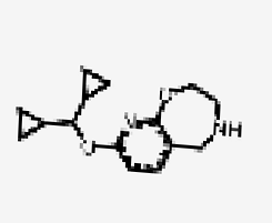 c1cc2c(nc1OC(C1CC1)C1CC1)OCCNC2